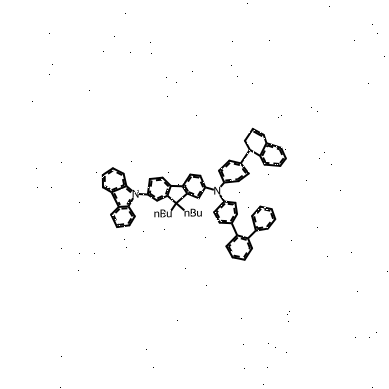 CCCCC1(CCCC)c2cc(N(c3ccc(-c4ccccc4-c4ccccc4)cc3)c3ccc(C4CC=Cc5ccccc54)cc3)ccc2-c2ccc(-n3c4ccccc4c4ccccc43)cc21